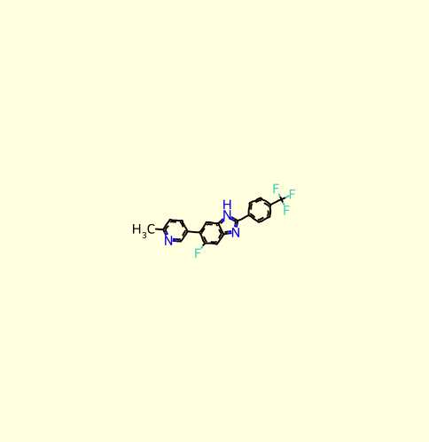 Cc1ccc(-c2cc3[nH]c(-c4ccc(C(F)(F)F)cc4)nc3cc2F)cn1